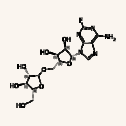 Nc1nc(F)nc2c1ncn2[C@@H]1O[C@H](COC2O[C@H](CO)[C@@H](O)[C@@H]2O)[C@@H](O)[C@H]1O